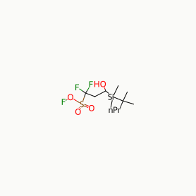 CCCC(C)(C)[Si](C)(C)C(O)CC(F)(F)S(=O)(=O)OF